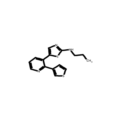 CCCNc1ncc(-c2cccnc2-c2ccsc2)s1